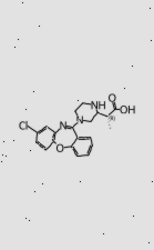 C[C@@H](C(=O)O)C1CN(C2=Nc3cc(Cl)ccc3Oc3ccccc32)CCN1